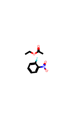 CCOC(C)=O.O=[N+]([O-])c1ccccc1F